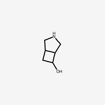 OC1CC2CNCC12